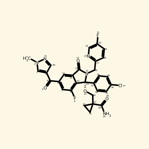 Cn1cc(C(=O)c2cc(F)c3c(c2)C(=O)N(Cc2ccc(F)cn2)[C@@]3(OCC2(C(N)=O)CC2)c2ccc(Cl)cc2)cn1